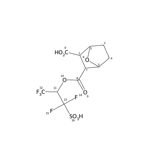 O=C(O)C1C2CCC(O2)C1C(=O)OC(C(F)(F)F)C(F)(F)S(=O)(=O)O